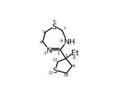 CCC1(C2=NCCSCN2)CCSC1